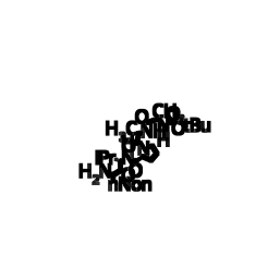 CCCCCCCCCC(N)C(=O)[C@@H](NC(=O)[C@@H]1CCCN1C(=O)[C@H](C)NC(=O)[C@H](C)NC(=O)OC(C)(C)C)C(C)C